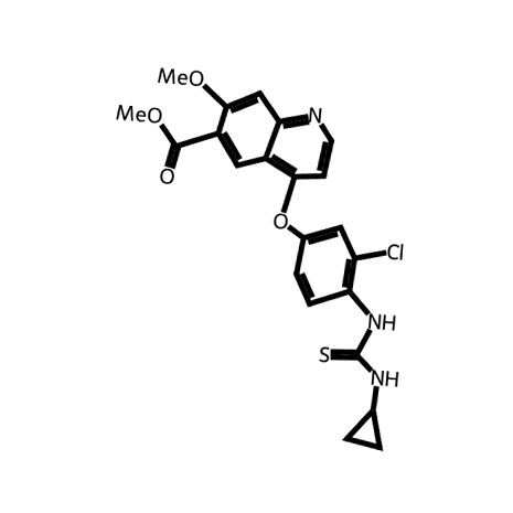 COC(=O)c1cc2c(Oc3ccc(NC(=S)NC4CC4)c(Cl)c3)ccnc2cc1OC